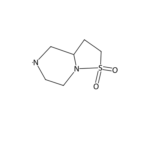 O=S1(=O)CCC2C[N]CCN21